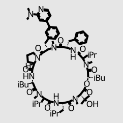 CC[C@H](C)[C@@H]1NC(=O)[C@@H]2CCCN2C(=O)[C@H](Cc2cccc(-c3ccnc(N(C)C)c3)c2)N(C)C(=O)[C@H](Cc2ccccc2)NC(=O)C(C(C)C)N(C)C(=O)[C@@H]([C@@H](C)CC)OC(=O)[C@H](C(C)(C)O)N(C)C(=O)[C@H](CC(C)C)NC(=O)C(C(C)C)N(C)C1=O